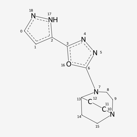 c1cc(-c2nnc(N3CCN4CCC3CC4)o2)[nH]n1